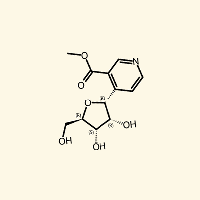 COC(=O)c1cnccc1[C@H]1O[C@H](CO)[C@@H](O)[C@H]1O